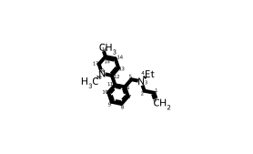 C=CCN(CC)Cc1ccccc1C1=CC=C(C)CN1C